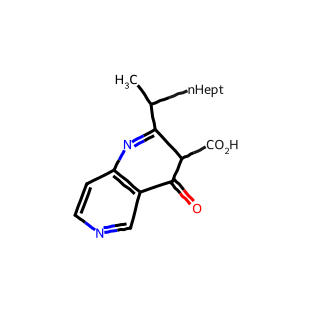 CCCCCCCC(C)C1=Nc2ccncc2C(=O)C1C(=O)O